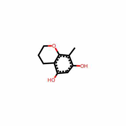 Cc1c(O)cc(O)c2c1OCCC2